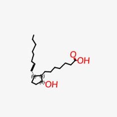 CCCCCCC=C[C@H]1CC[C@@H](O)[C@@H]1CCCCCCC(=O)O